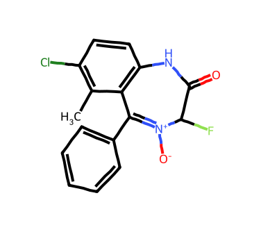 Cc1c(Cl)ccc2c1C(c1ccccc1)=[N+]([O-])C(F)C(=O)N2